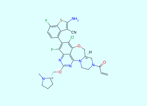 C=CC(=O)N1CCN2c3nc(OC[C@@H]4CCCN4C)nc4c(F)c(-c5ccc(F)c6sc(N)c(C#N)c56)c(Cl)c(c34)OC[C@H]2C1